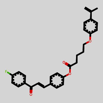 C=C(C)c1ccc(OCCCCC(=O)Oc2ccc(C=CC(=O)c3ccc(F)cc3)cc2)cc1